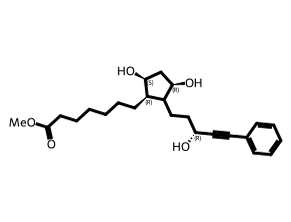 COC(=O)CCCCCC[C@@H]1C(CC[C@@H](O)C#Cc2ccccc2)[C@H](O)C[C@@H]1O